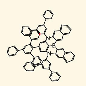 c1ccc(-c2cc(-c3ccccc3)cc(N3c4cc5ccccc5cc4B4c5cc6ccccc6cc5N(c5cc(-c6ccccc6)cc(-c6ccccc6)c5)c5cc(-c6c(-c7ccccc7)cc(-c7ccccc7)cc6-c6ccccc6)cc3c54)c2)cc1